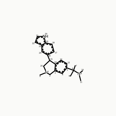 CN1Cc2cc(C(C)(C)N(C)C)ccc2C(c2ccc3[nH]ccc3c2)C1